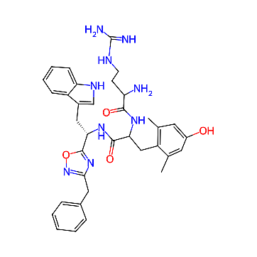 Cc1cc(O)cc(C)c1CC(NC(=O)C(N)CCNC(=N)N)C(=O)N[C@@H](Cc1c[nH]c2ccccc12)c1nc(Cc2ccccc2)no1